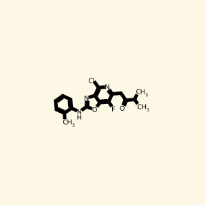 Cc1ccccc1Nc1nc2c(Cl)nc(CC(=O)C(C)C)c(F)c2o1